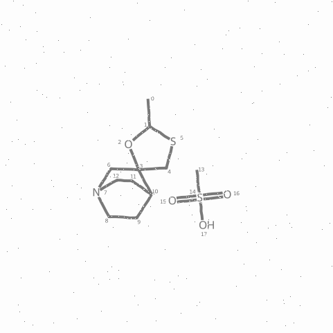 CC1OC2(CS1)CN1CCC2CC1.CS(=O)(=O)O